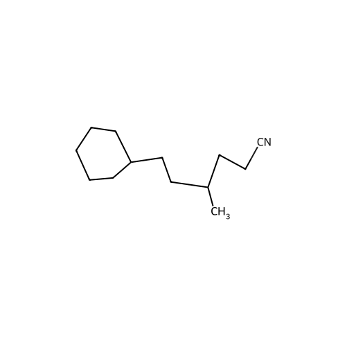 CC(CCC#N)CCC1CCCCC1